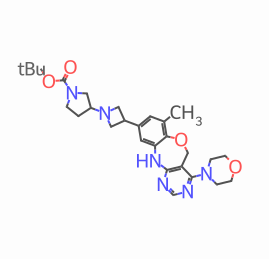 Cc1cc(C2CN(C3CCN(C(=O)OC(C)(C)C)C3)C2)cc2c1OCc1c(ncnc1N1CCOCC1)N2